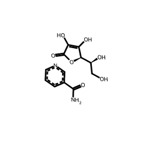 NC(=O)c1cccnc1.O=C1O[C@H]([C@@H](O)CO)C(O)=C1O